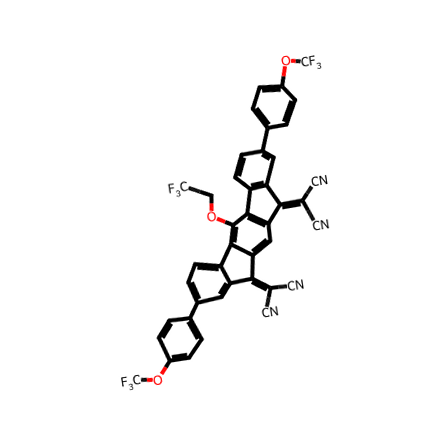 N#CC(C#N)=C1c2cc(-c3ccc(OC(F)(F)F)cc3)ccc2-c2c1cc1c(c2OCC(F)(F)F)-c2ccc(-c3ccc(OC(F)(F)F)cc3)cc2C1=C(C#N)C#N